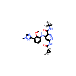 [2H]C([2H])([2H])NC(=O)c1nnc(NC(=O)[C@H]2C[C@H]2C)cc1Nc1cccc(-c2ncn(C)n2)c1OC